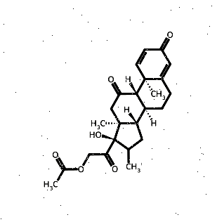 CC(=O)OCC(=O)[C@@]1(O)C(C)C[C@H]2[C@@H]3CCC4=CC(=O)C=C[C@]4(C)[C@H]3C(=O)C[C@@]21C